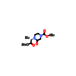 CC[C@H](C)[C@@H](C(=O)OC)N1CCN(C(=O)OC(C)(C)C)CC1=O